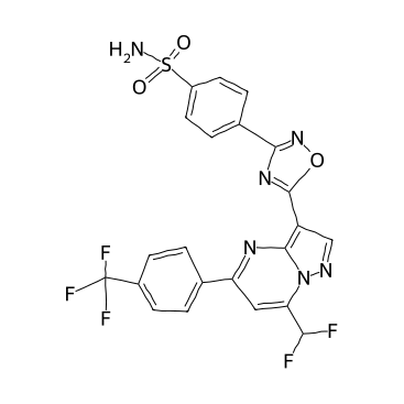 NS(=O)(=O)c1ccc(-c2noc(-c3cnn4c(C(F)F)cc(-c5ccc(C(F)(F)F)cc5)nc34)n2)cc1